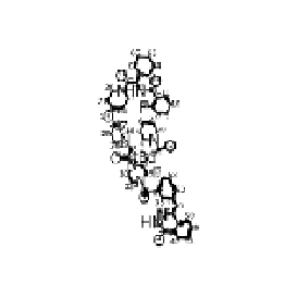 CC(C)(C)C(=O)N1CCC[C@H](c2cccc(C(=O)N[C@@H](C(=O)N3CCC(OC4CCN(CC(=O)N5CCN(C(=O)c6cc(Cc7n[nH]c(=O)c8ccccc78)ccc6F)CC5)CC4)CC3)C3CCCCC3)c2F)C1